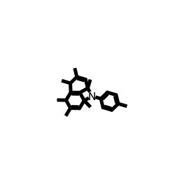 CC1=CC2(C)C3=C(C1C)C(C)C(C)=CC3(C)N2c1ccc(C)cc1